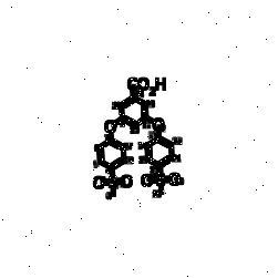 CS(=O)(=O)c1ccc(Oc2cc(Oc3ccc(S(C)(=O)=O)cc3)cc(C(=O)O)c2)cc1